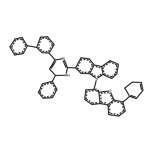 C1=CCCC(c2cccc3c2oc2c(-n4c5ccccc5c5ccc(C6=NC(c7cccc(-c8ccccc8)c7)=CC(c7ccccc7)N6)cc54)cccc23)=C1